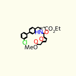 CCOC(=O)C[C@@H](Cc1ccc(-c2cccc(Cl)c2)cc1)NC(=O)c1ccc(CC(=O)OC)o1